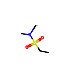 [CH2]N(C)S(=O)(=O)CC